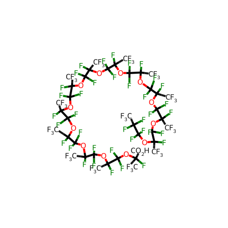 O=C(O)C(F)(OC(F)(F)C(F)(OC(F)(F)C(F)(OC(F)(F)C(F)(OC(F)(F)C(F)(OC(F)(F)C(F)(OC(F)(F)C(F)(OC(F)(F)C(F)(OC(F)(F)C(F)(OC(F)(F)C(F)(OC(F)(F)C(F)(OC(F)(F)C(F)(OC(F)(F)C(F)(F)C(F)(F)F)C(F)(F)F)C(F)(F)F)C(F)(F)F)C(F)(F)F)C(F)(F)F)C(F)(F)F)C(F)(F)F)C(F)(F)F)C(F)(F)F)C(F)(F)F)C(F)(F)F)C(F)(F)F